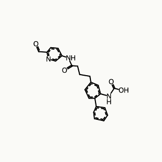 O=Cc1ccc(NC(=O)CCCc2ccc(-c3ccccc3)c(NC(=O)O)c2)cn1